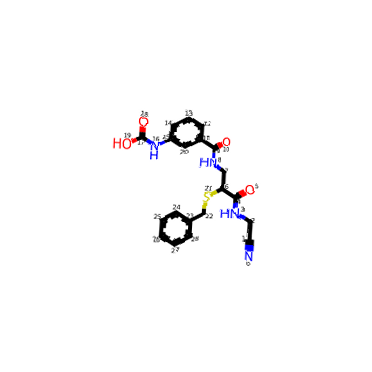 N#CCNC(=O)C(CNC(=O)c1cccc(NC(=O)O)c1)SCc1ccccc1